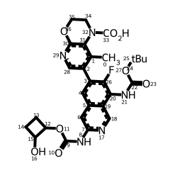 Cc1c(-c2cc3cc(NC(=O)OC4CCC4O)ncc3c(NC(=O)OC(C)(C)C)c2F)cnc2c1N(C(=O)O)CCO2